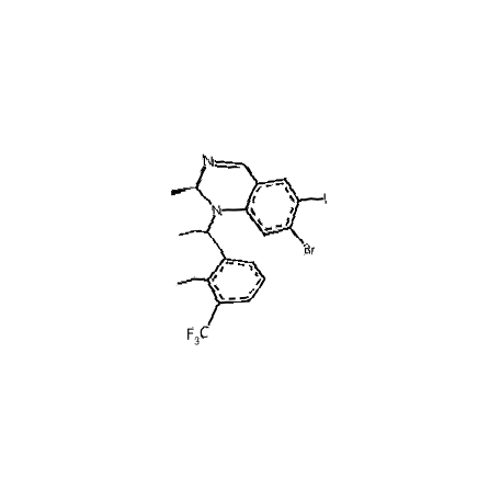 Cc1c(C(C)N2c3cc(Br)c(I)cc3C=N[C@@H]2C)cccc1C(F)(F)F